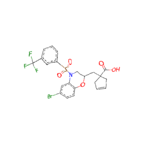 O=C(O)C1(CC2CN(S(=O)(=O)c3cccc(C(F)(F)F)c3)c3cc(Br)ccc3O2)CC=CC1